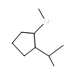 CNC1CCCC1C(C)C